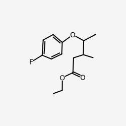 CCOC(=O)CC(C)C(C)Oc1ccc(F)cc1